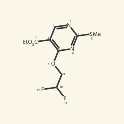 CCOC(=O)c1cnc(SC)nc1OCC(F)F